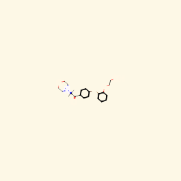 CC(C)(C(=O)c1ccc(Sc2ccccc2OCCO)cc1)N1CCOCC1